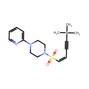 C[Si](C)(C)C#C/C=C\S(=O)(=O)N1CCN(c2ccccn2)CC1